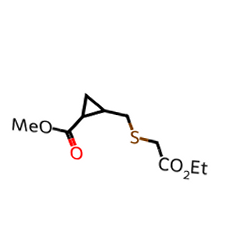 CCOC(=O)CSCC1CC1C(=O)OC